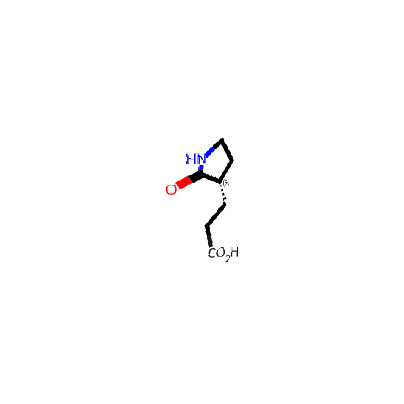 O=C(O)CC[C@H]1CCNC1=O